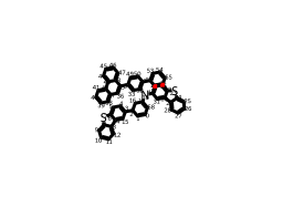 C1=CC(c2ccc3sc4ccccc4c3c2)CC(N(c2ccc3sc4ccccc4c3c2)c2cc(-c3cc4ccccc4c4ccccc34)ccc2-c2ccccc2)=C1